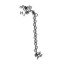 CCCN(CCC)C(=O)C1=Cc2sc(CN3CCN(C(=O)CCOCCOCCOCCOCCOCCOCCOCCOCCOCCOCCOCCC(=O)Oc4c(F)c(F)cc(F)c4F)CC3)cc2N=C(N)C1